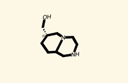 OC[C@H]1CCC2CNCCN2C1